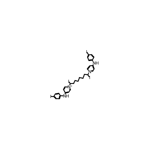 Ic1ccc(Nc2cc[n+](C(I)CCCCCCC(I)[n+]3ccc(Nc4ccc(I)cc4)cc3)cc2)cc1